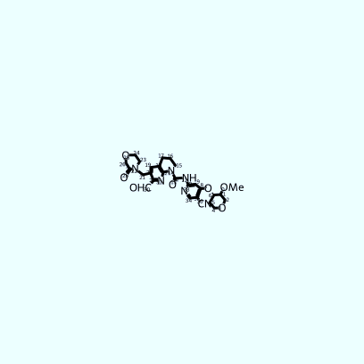 COC1COCC[C@@H]1Oc1cc(NC(=O)N2CCCc3cc(CN4CCOCC4=O)c(C=O)nc32)ncc1C#N